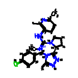 Cc1nc(C(F)(F)F)ccc1N/C(=N\C#N)N1CCC[C@@H]1c1nnc(C)n1Cc1ccc(Cl)cc1